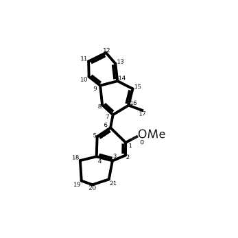 COc1cc2c(cc1-c1cc3ccccc3cc1C)CCCC2